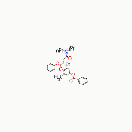 CCCN(CCC)C(=O)CCC(Oc1ccccc1)Oc1c(C)cc(OC(=O)c2ccccc2)cc1CC